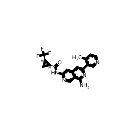 Cc1ccncc1-c1cc2cc(NC(=O)[C@@H]3C[C@H]3C(F)(F)F)ncc2c(N)n1